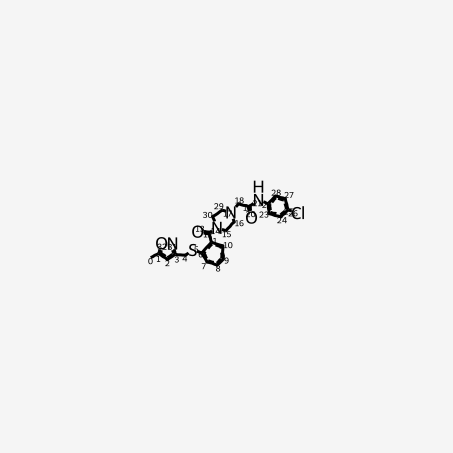 Cc1cc(CSc2ccccc2C(=O)N2CCN(CC(=O)Nc3ccc(Cl)cc3)CC2)no1